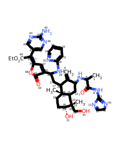 C=C1C(NC(C)C(=O)NC2=NCC=N2)CC2[C@](C)(CC[C@@H](O)[C@@]2(C)CO)C1CC(Nc1ccccn1)C1=C/C(=C(/C(=O)OCC)c2cnc(N)nc2)OC1=O